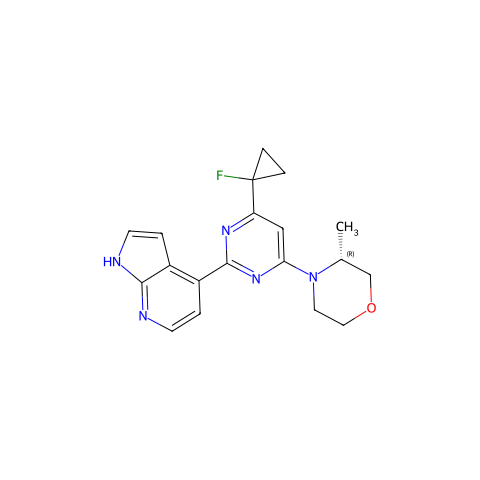 C[C@@H]1COCCN1c1cc(C2(F)CC2)nc(-c2ccnc3[nH]ccc23)n1